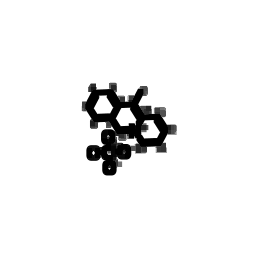 Cc1c2ccccc2c[n+]2ccccc12.[O-][Cl+3]([O-])([O-])[O-]